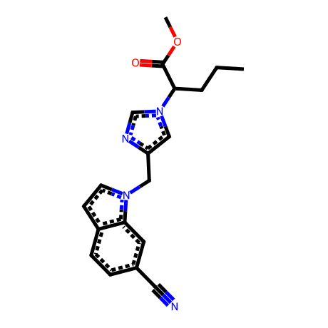 CCCC(C(=O)OC)n1cnc(Cn2ccc3ccc(C#N)cc32)c1